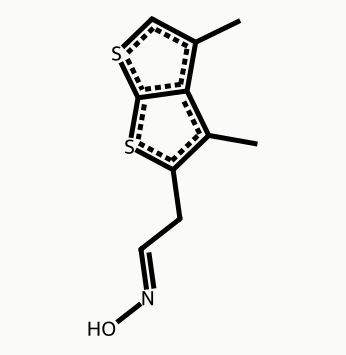 Cc1csc2sc(CC=NO)c(C)c12